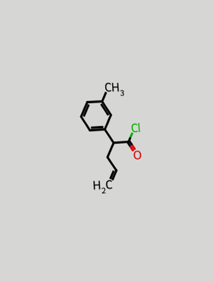 C=CCC(C(=O)Cl)c1cccc(C)c1